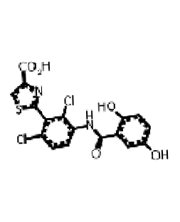 O=C(O)c1csc(-c2c(Cl)ccc(NC(=O)c3cc(O)ccc3O)c2Cl)n1